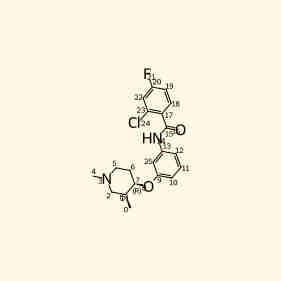 C[C@H]1CN(C)CC[C@H]1Oc1cccc(NC(=O)c2ccc(F)cc2Cl)c1